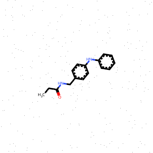 CCC(=O)NCc1ccc(Nc2ccccc2)cc1